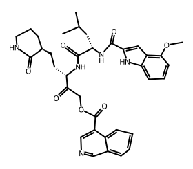 COc1cccc2[nH]c(C(=O)N[C@@H](CC(C)C)C(=O)N[C@@H](CC[C@@H]3CCCNC3=O)C(=O)COC(=O)c3cncc4ccccc34)cc12